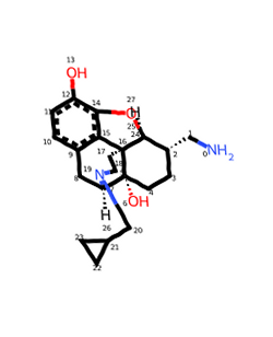 NC[C@@H]1CC[C@@]2(O)[C@H]3Cc4ccc(O)c5c4[C@@]2(CCN3CC2CC2)[C@H]1O5